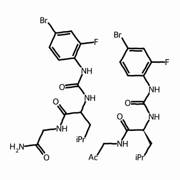 CC(=O)CNC(=O)[C@H](CC(C)C)NC(=O)Nc1ccc(Br)cc1F.CC(C)CC(NC(=O)Nc1ccc(Br)cc1F)C(=O)NCC(N)=O